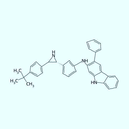 CC(C)(C)c1ccc(C2N[C@@H]2c2cccc(Nc3cc4[nH]c5ccccc5c4cc3-c3ccccc3)c2)cc1